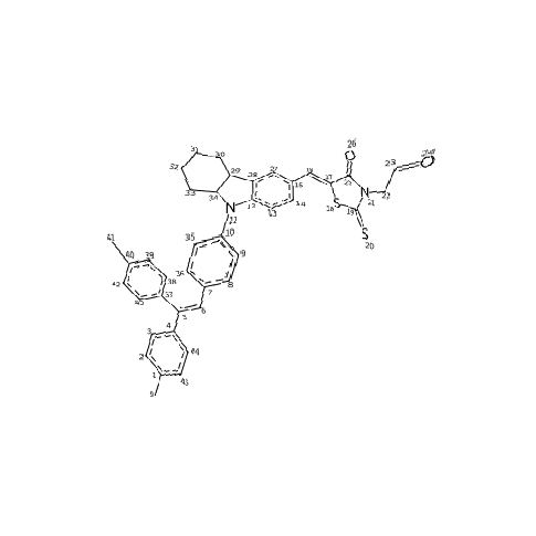 Cc1ccc(C(=Cc2ccc(N3c4ccc(/C=C5\SC(=S)N(CC=O)C5=O)cc4C4CCCCC43)cc2)c2ccc(C)cc2)cc1